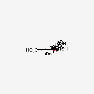 CCCCCCCCCCCCCC(=O)[C@@]1(O)[C@@H](C)[C@@]2(O)[C@@H](C=C(CO)C[C@]3(O)C(=O)C(C)=C[C@@H]23)[C@H]2C(C)(C)[C@@]21OCCCCCCCCCCCCCC(=O)O